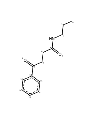 CCCNC(=O)CCC(=O)c1ccccc1